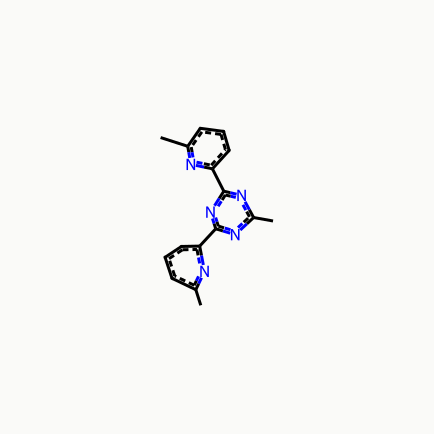 Cc1cccc(-c2nc(C)nc(-c3cccc(C)n3)n2)n1